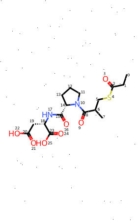 CCC(=O)SCC(C)C(=O)N1CCC[C@H]1C(=O)N[C@@H](CC(=O)O)C(=O)O